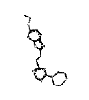 CCOc1ccc2nc(SCc3ncnc(N4CCOCC4)n3)sc2c1